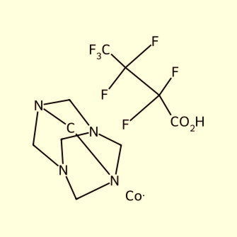 C1N2CN3CN1CN(C2)C3.O=C(O)C(F)(F)C(F)(F)C(F)(F)F.[Co]